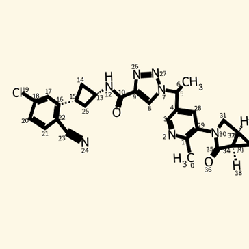 Cc1ncc(C(C)n2cc(C(=O)N[C@H]3C[C@@H](c4cc(Cl)ccc4C#N)C3)nn2)cc1N1C[C@H]2C[C@H]2C1=O